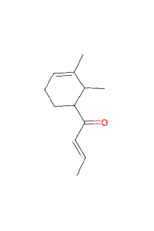 CC=CC(=O)C1CCC=C(C)C1C